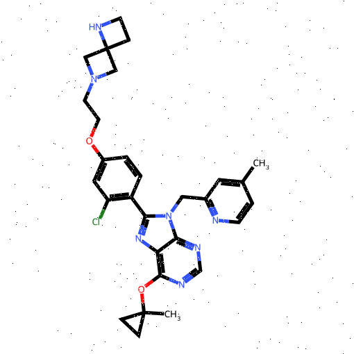 Cc1ccnc(Cn2c(-c3ccc(OCCN4CC5(CCN5)C4)cc3Cl)nc3c(OC4(C)CC4)ncnc32)c1